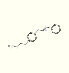 CSCC[n+]1ccc(C/C=C/c2ccccc2)cc1